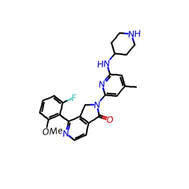 COc1cccc(F)c1-c1nccc2c1CN(c1cc(C)cc(NC3CCNCC3)n1)C2=O